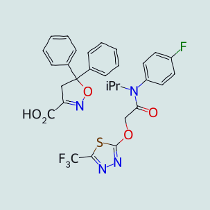 CC(C)N(C(=O)COc1nnc(C(F)(F)F)s1)c1ccc(F)cc1.O=C(O)C1=NOC(c2ccccc2)(c2ccccc2)C1